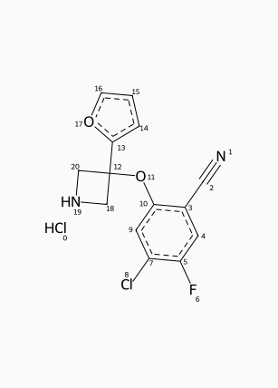 Cl.N#Cc1cc(F)c(Cl)cc1OC1(c2ccco2)CNC1